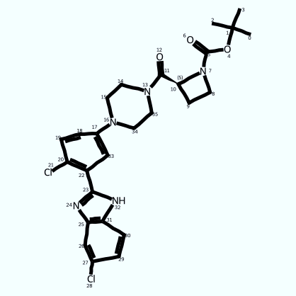 CC(C)(C)OC(=O)N1CC[C@H]1C(=O)N1CCN(c2ccc(Cl)c(-c3nc4cc(Cl)ccc4[nH]3)c2)CC1